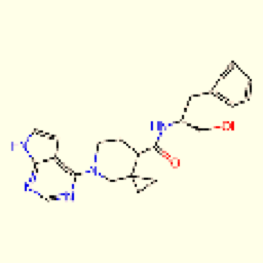 O=C(N[C@H](CO)Cc1ccccc1)C1CCN(c2ncnc3[nH]ccc23)CC12CC2